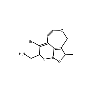 CC1OB2OC(CN)C(Br)=C3C=COCC1=C23